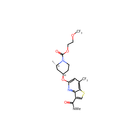 CNC(=O)c1csc2c(C(F)(F)F)cc(O[C@@H]3CCN(C(=O)OCCOC(F)(F)F)[C@@H](C)C3)nc12